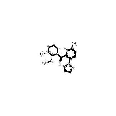 Cc1ccc(-n2nccn2)c(C(=O)N2CCC[C@@H](C)[C@H]2CN)n1